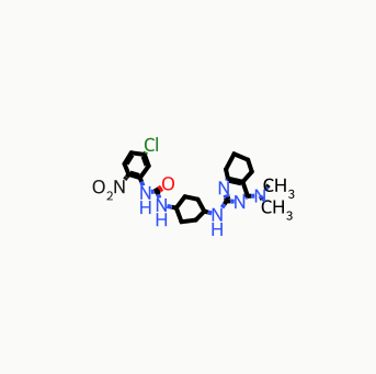 CN(C)c1nc(NC2CCC(NC(=O)Nc3cc(Cl)ccc3[N+](=O)[O-])CC2)nc2c1CCCC2